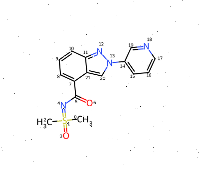 CS(C)(=O)=NC(=O)c1cccc2nn(-c3cccnc3)cc12